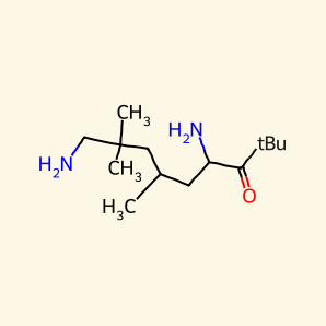 CC(CC(N)C(=O)C(C)(C)C)CC(C)(C)CN